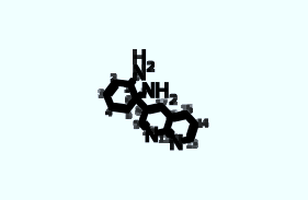 NC1C=CC=CC1(N)c1cnc2ncccc2c1